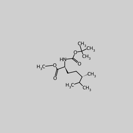 COC(=O)[C@H](CC[C@H](C)C(C)C)NC(=O)OC(C)(C)C